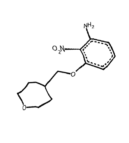 Nc1cccc(OCC2CCOCC2)c1[N+](=O)[O-]